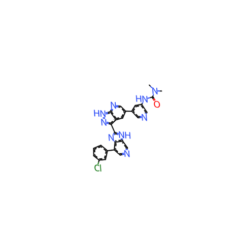 CN(C)C(=O)Nc1cncc(-c2cnc3[nH]nc(-c4nc5c(-c6cccc(Cl)c6)cncc5[nH]4)c3c2)c1